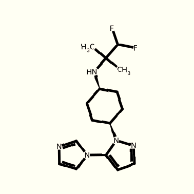 CC(C)(N[C@H]1CC[C@@H](n2nccc2-n2ccnc2)CC1)C(F)F